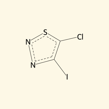 Clc1snnc1I